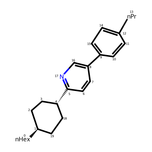 CCCCCC[C@H]1CC[C@H](c2ccc(-c3ccc(CCC)cc3)cn2)CC1